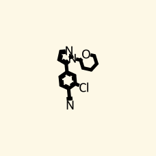 N#Cc1ccc(-c2ccnn2C2CCCCO2)cc1Cl